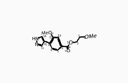 COCCOC(=O)c1ccc(-c2cn[nH]c2)c(OC)c1